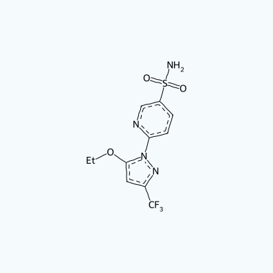 CCOc1cc(C(F)(F)F)nn1-c1ccc(S(N)(=O)=O)cn1